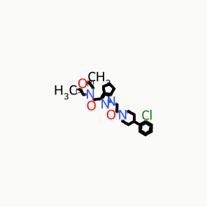 C[C@@H]1CN(C(=O)c2nn(CC(=O)N3CCC(c4ccccc4Cl)CC3)c3c2CCC3)C[C@H](C)O1